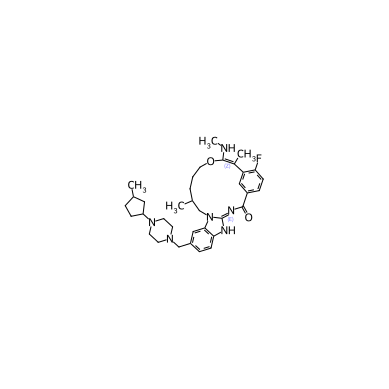 CN/C1=C(\C)c2cc(ccc2F)C(=O)/N=C2\Nc3ccc(CN4CCN(C5CCC(C)C5)CC4)cc3N2CC(C)CCCO1